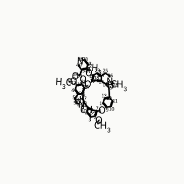 COc1ccc2cc1Oc1ccc(cc1)C[C@H]1c3cc(c(OC)cc3CCN1C)Oc1c(OC(=O)c3cccnc3)c(OC)cc3c1[C@H](C2)N(C)CC3